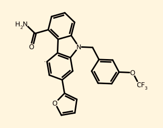 NC(=O)c1cccc2c1c1[c]cc(-c3ccco3)cc1n2Cc1cccc(OC(F)(F)F)c1